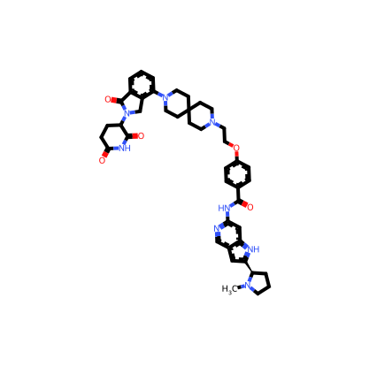 CN1CCC[C@@H]1c1cc2cnc(NC(=O)c3ccc(OCCN4CCC5(CC4)CCN(c4cccc6c4CN(C4CCC(=O)NC4=O)C6=O)CC5)cc3)cc2[nH]1